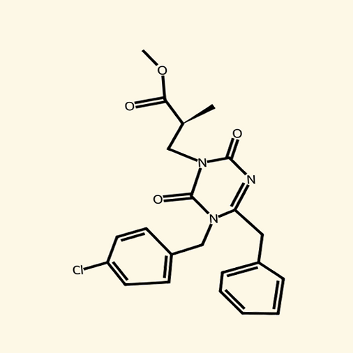 COC(=O)[C@@H](C)Cn1c(=O)nc(Cc2ccccc2)n(Cc2ccc(Cl)cc2)c1=O